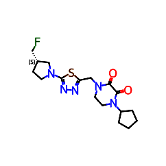 O=C1C(=O)N(C2CCCC2)CCN1Cc1nnc(N2CC[C@H](CF)C2)s1